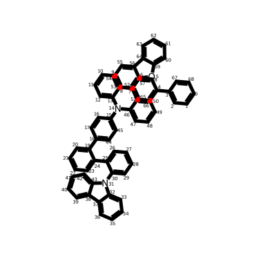 c1ccc(-c2ccc(-c3ccccc3N(c3ccc(-c4ccccc4-c4ccccc4-n4c5ccccc5c5ccccc54)cc3)c3ccccc3-c3cccc4c3oc3ccccc34)cc2)cc1